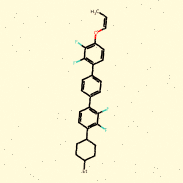 C/C=C\Oc1ccc(-c2ccc(-c3ccc(C4CCC(CC)CC4)c(F)c3F)cc2)c(F)c1F